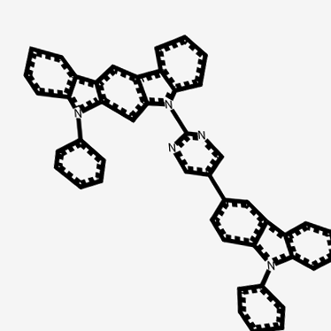 c1ccc(-n2c3ccccc3c3cc(-c4cnc(-n5c6ccccc6c6cc7c8ccccc8n(-c8ccccc8)c7cc65)nc4)ccc32)cc1